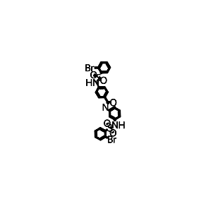 O=S(=O)(Nc1ccc(-c2nc3cc(NS(=O)(=O)c4ccccc4Br)ccc3o2)cc1)c1ccccc1Br